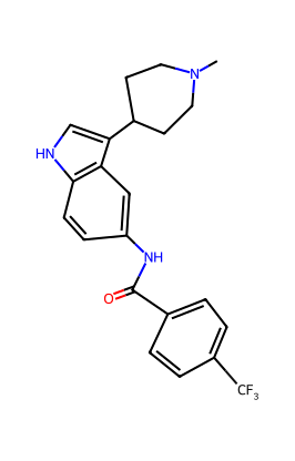 CN1CCC(c2c[nH]c3ccc(NC(=O)c4ccc(C(F)(F)F)cc4)cc23)CC1